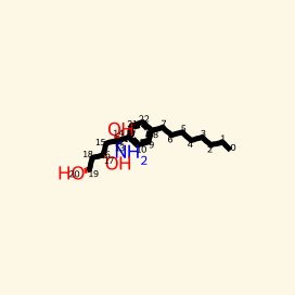 CCCCCCCCc1ccc(C(N)(O)CC(O)CCO)cc1